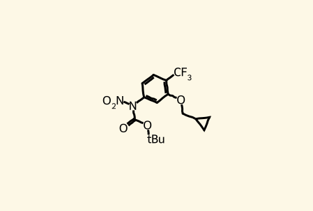 CC(C)(C)OC(=O)N(c1ccc(C(F)(F)F)c(OCC2CC2)c1)[N+](=O)[O-]